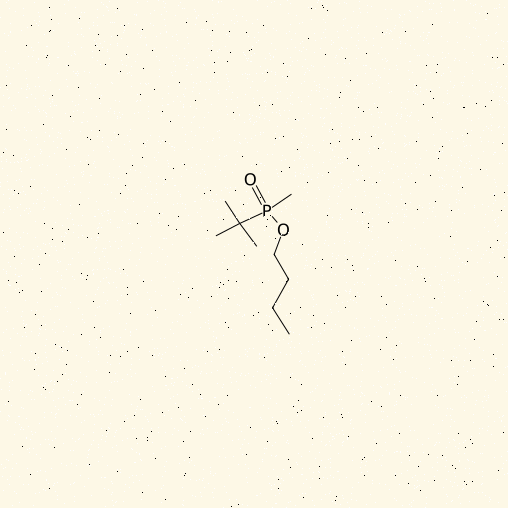 CCCCOP(C)(=O)C(C)(C)C